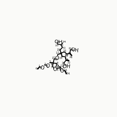 C=COCOCC(CO)(COCOC=C)COCC(CCC(=C)CO)(CCC(=C)CO)CCC(C)CO